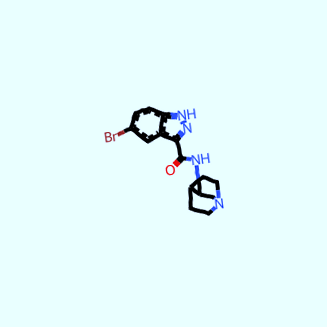 O=C(NC1CN2CCC1CC2)c1n[nH]c2ccc(Br)cc12